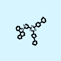 c1ccc(-c2ccc(-c3nc(-c4ccc(-c5ccccc5)cc4)nc(-c4ccnc(-n5c6ccccc6c6c7ccccc7ccc65)c4)n3)cc2)cc1